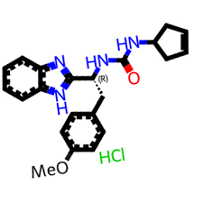 COc1ccc(C[C@@H](NC(=O)NC2CC=CC2)c2nc3ccccc3[nH]2)cc1.Cl